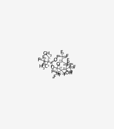 CCC(C)(C(=O)OC1(C(F)(F)F)OC(C(F)(F)F)C(F)(F)C(O)(C(F)(F)F)C1(F)F)C(F)(F)F